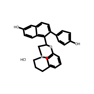 Cl.Oc1ccc(-c2ccc3cc(O)ccc3c2C(CN2CCCCC2)Oc2ccccc2)cc1